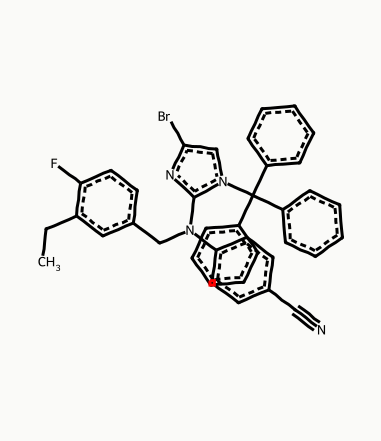 CCc1cc(CN(c2ccc(C#N)cc2)c2nc(Br)cn2C(c2ccccc2)(c2ccccc2)c2ccccc2)ccc1F